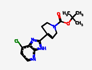 CC(C)(C)OC(=O)N1CC=C(c2nc3c(Cl)ccnc3[nH]2)CC1